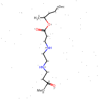 CCCCCCCCCCCCC(C)OC(=O)CCNCCNCCC(=O)OC